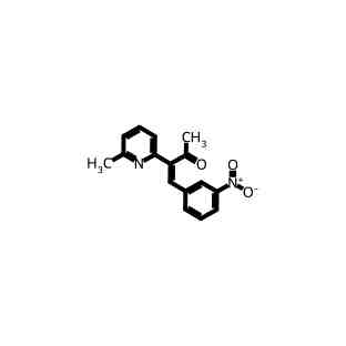 CC(=O)C(=Cc1cccc([N+](=O)[O-])c1)c1cccc(C)n1